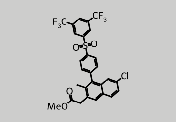 COC(=O)Cc1cc2ccc(Cl)cc2c(-c2ccc(S(=O)(=O)c3cc(C(F)(F)F)cc(C(F)(F)F)c3)cc2)c1C